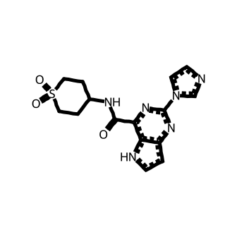 O=C(NC1CCS(=O)(=O)CC1)c1nc(-n2ccnc2)nc2cc[nH]c12